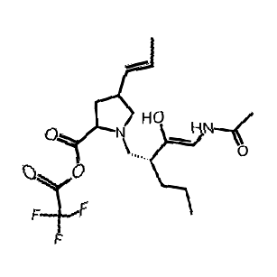 CC=CC1CC(C(=O)OC(=O)C(F)(F)F)N(C[C@@H](CCC)C(O)=CNC(C)=O)C1